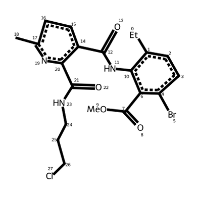 CCc1ccc(Br)c(C(=O)OC)c1NC(=O)c1ccc(C)nc1C(=O)NCCCCl